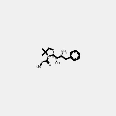 CC(C)(C)OC(=O)N1[C@@H]([C@@H](O)[C@@H](N)Cc2ccccc2)CCC1(C)C